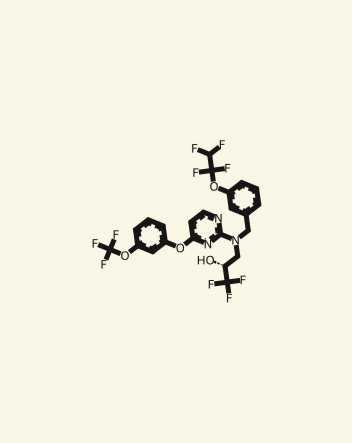 O[C@H](CN(Cc1cccc(OC(F)(F)C(F)F)c1)c1nccc(Oc2cccc(OC(F)(F)F)c2)n1)C(F)(F)F